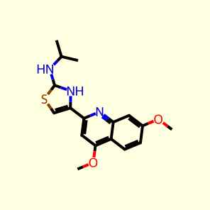 COc1ccc2c(OC)cc(C3=CSC(NC(C)C)N3)nc2c1